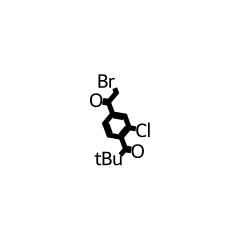 CC(C)(C)C(=O)c1ccc(C(=O)CBr)cc1Cl